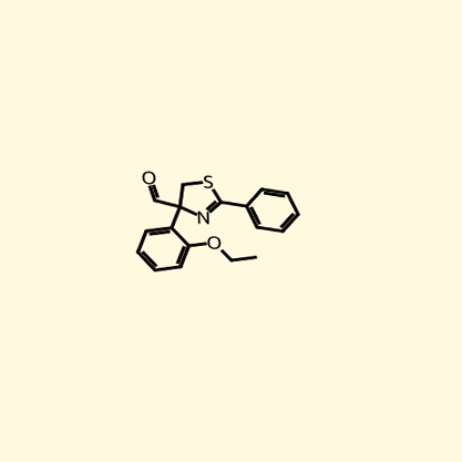 CCOc1ccccc1C1(C=O)CSC(c2ccccc2)=N1